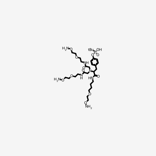 CC(C)(C)P(=O)(O)Oc1ccc(CC(C(=O)NCCCCOCCON)N(CC(=O)NCCOCCON)CC(=O)NCCOCCON)cc1